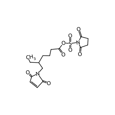 CCC(CCCC(=O)OS(=O)(=O)N1C(=O)CCC1=O)CN1C(=O)C=CC1=O